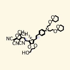 CC1(C)OC(=C(C#N)C#N)C(C#N)=C1/C=C/c1sc(/C=C/c2ccc(N(CCOC3CCCCO3)CCOC3CCCCO3)cc2)c2c1OC(CO)CO2